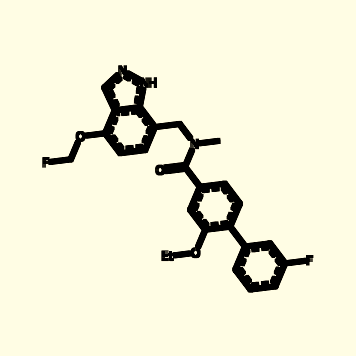 CCOc1cc(C(=O)N(C)Cc2ccc(OCF)c3cn[nH]c23)ccc1-c1cccc(F)c1